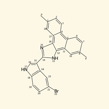 Cc1ccc2c3ccc(C)cc3c3[nH]c(-c4c[nH]c5ccc(Br)cc45)nc3c2c1